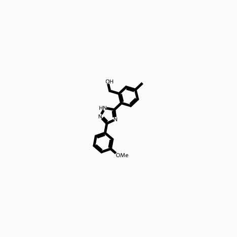 COc1cccc(-c2n[nH]c(-c3ccc(C)cc3CO)n2)c1